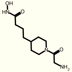 NCC(=O)N1CCC(CCCC(=O)NO)CC1